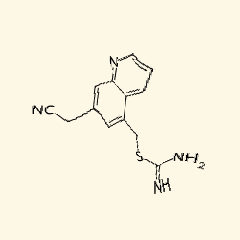 N#CCc1cc(CSC(=N)N)c2cccnc2c1